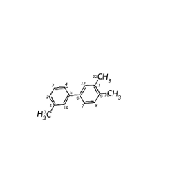 Cc1cc[c]c(-c2ccc(C)c(C)c2)c1